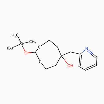 CC(C)(C)[Si](C)(C)OC1CCCC(O)(Cc2ccccn2)CCC1